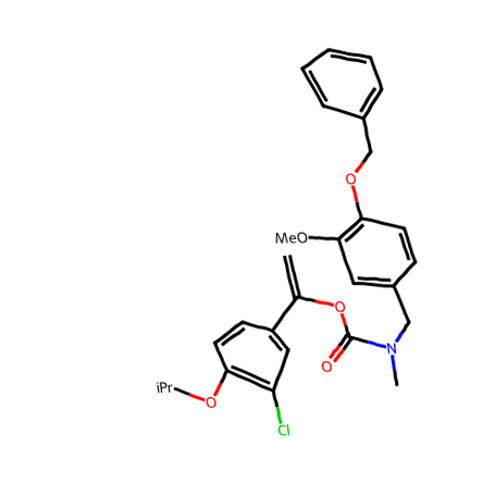 C=C(OC(=O)N(C)Cc1ccc(OCc2ccccc2)c(OC)c1)c1ccc(OC(C)C)c(Cl)c1